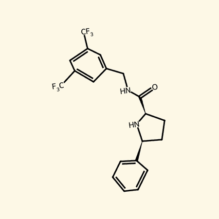 O=C(NCc1cc(C(F)(F)F)cc(C(F)(F)F)c1)[C@H]1CC[C@@H](c2ccccc2)N1